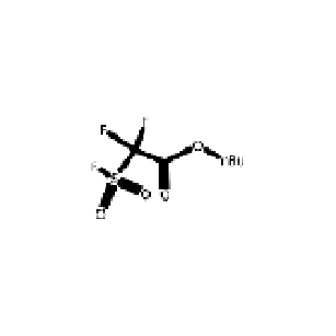 CCCCOC(=O)C(F)(F)S(=O)(=O)F